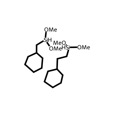 CO[SiH](CC1CCCCC1)OC.CO[SiH](CCC1CCCCC1)OC